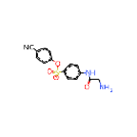 N#Cc1ccc(OS(=O)(=O)c2ccc(NC(=O)CN)cc2)cc1